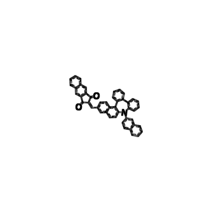 O=C1C(=Cc2ccc3c4c(ccc3c2)N(c2ccc3ccccc3c2)c2ccccc2-c2ccccc2-4)C(=O)c2cc3ccccc3cc21